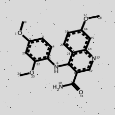 COc1ccc(Nc2c(C(N)=O)cnc3cc(OC)ccc23)c(OC)c1